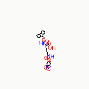 O=C(NC(CCCCCNC(=O)Oc1ccc([N+](=O)[O-])cc1)C(=O)O)OCC1c2ccccc2-c2ccccc21